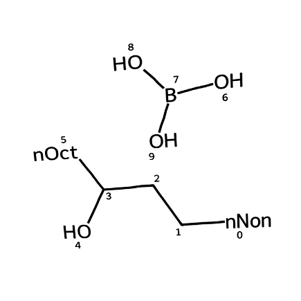 CCCCCCCCCCCC(O)CCCCCCCC.OB(O)O